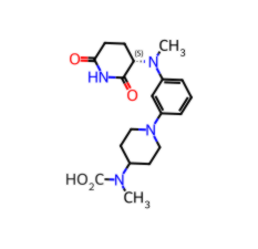 CN(C(=O)O)C1CCN(c2cccc(N(C)[C@H]3CCC(=O)NC3=O)c2)CC1